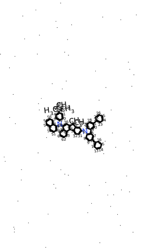 CC1(C)c2cc(-n3c4ccc(-c5ccccc5)cc4c4cc(-c5ccccc5)ccc43)ccc2-c2c1cc(N(c1ccc([Si](C)(C)C)cc1)c1cccc3ccccc13)c1ccccc21